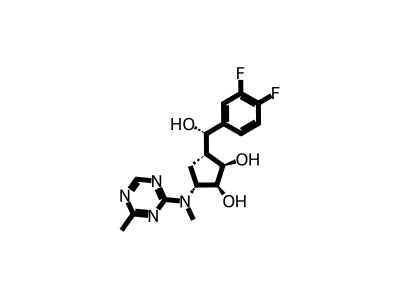 Cc1ncnc(N(C)[C@@H]2C[C@H]([C@H](O)c3ccc(F)c(F)c3)[C@@H](O)[C@H]2O)n1